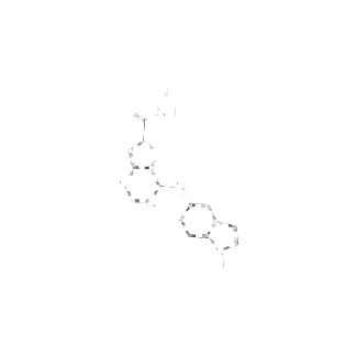 CCCNC(=O)c1cc2ncnc(Nc3ccc4[nH]ccc4c3)c2s1